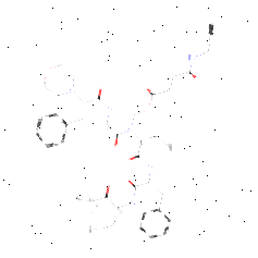 C#CCNC(=O)CCC(=O)OCN(C(=O)[C@H](CCc1ccccc1)NC(=O)CN1CCOCC1)[C@@H](CC(C)C)C(=O)N[C@@H](Cc1ccccc1)C(=O)N[C@@H](CC(C)C)C(=O)[C@@]1(C)CO1